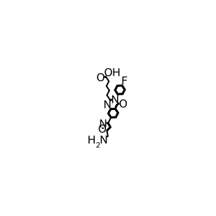 NCc1cc(-c2ccc3c(=O)n(-c4ccc(F)cc4)c(CCCCC(=O)O)nc3c2)no1